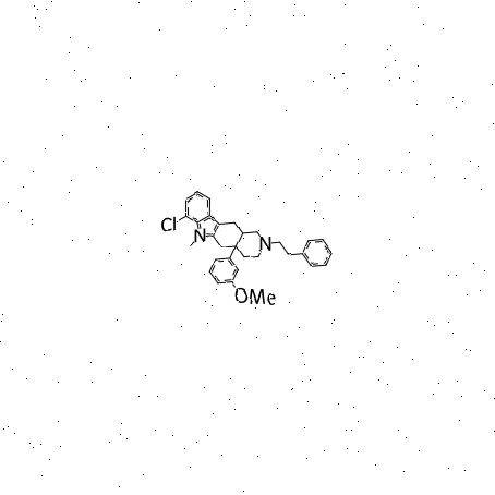 COc1cccc(C23CCN(CCc4ccccc4)CC2Cc2c(n(C)c4c(Cl)cccc24)C3)c1